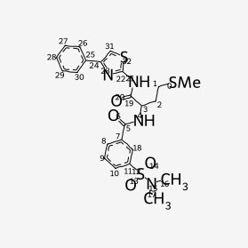 CSCCC(NC(=O)c1cccc(S(=O)(=O)N(C)C)c1)C(=O)Nc1nc(-c2ccccc2)cs1